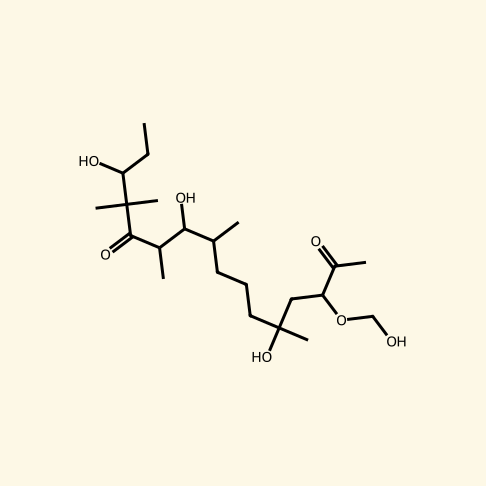 CCC(O)C(C)(C)C(=O)C(C)C(O)C(C)CCCC(C)(O)CC(OCO)C(C)=O